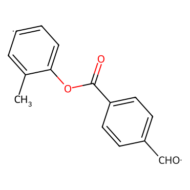 Cc1c[c]ccc1OC(=O)c1ccc([C]=O)cc1